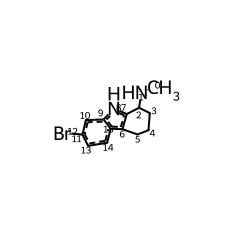 CNC1CCCc2c1[nH]c1cc(Br)ccc21